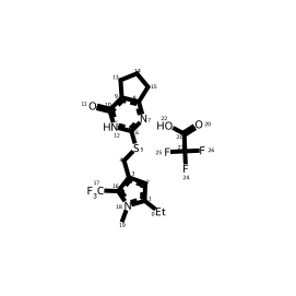 CCc1cc(CSc2nc3c(c(=O)[nH]2)CCC3)c(C(F)(F)F)n1C.O=C(O)C(F)(F)F